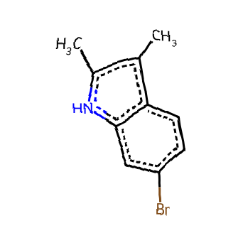 Cc1[nH]c2cc(Br)ccc2c1C